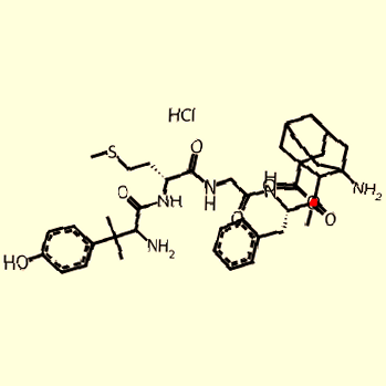 COC(=O)C12CC3CC(CC(N)(C3)C1C(=O)[C@H](Cc1ccccc1)NC(=O)CNC(=O)[C@@H](CCSC)NC(=O)C(N)C(C)(C)c1ccc(O)cc1)C2.Cl